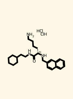 Cl.Cl.NCCCC[C@H](NCc1ccc2ccccc2c1)C(=O)NCCC1CCCCC1